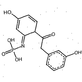 O=C(Cc1cccc(O)c1)C1C=CC(O)=C/C1=N\P(=O)(O)O